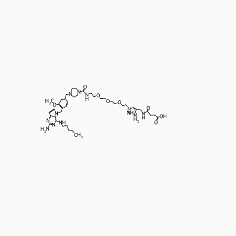 CCCCCNc1nc(N)nc2ccn(Cc3ccc(CN4CCN(C(=O)NCCOCCOCCOCCN(N)/C=C(\N)CNC(=O)CCC(=O)O)CC4)cc3OC)c12